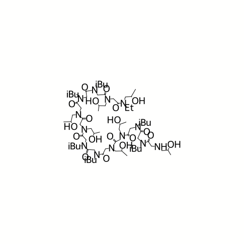 CCC(C)N(CC(=O)N(CC(=O)N(CC(=O)N(CC(=O)N(CC(=O)N(CC(=O)N(CC(=O)N(CC(=O)N(CC(=O)N(CC(=O)N(CC)CC(C)O)CC(C)O)C(C)CC)C(C)CC)CC(C)O)CC(C)O)C(C)CC)C(C)CC)CC(C)O)CC(C)O)C(=O)CN(C(=O)CNCC(C)O)C(C)CC